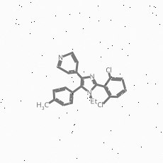 CCn1c(-c2c(Cl)cccc2Cl)nc(-c2ccncc2)c1-c1ccc(C)cc1